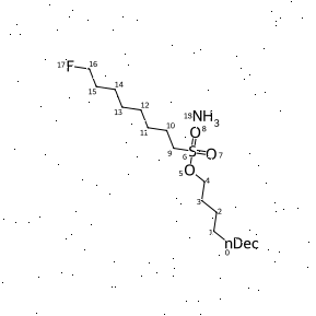 CCCCCCCCCCCCCCOS(=O)(=O)CCCCCCCCF.N